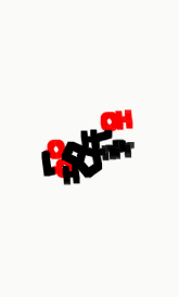 CCC[C@@]1(CCO)CC[C@@H]2[C@H]1CC21OCCO1